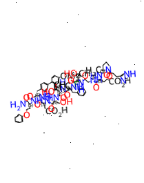 CCc1cc(OC)ccc1-c1ccc(C[C@H](NC(=O)[C@H](CC(=O)O)NC(=O)[C@H](CO)NC(=O)[C@@H](NC(=O)[C@](C)(Cc2ccccc2F)NC(=O)[C@@H](NC(=O)CNC(=O)[C@H](CCC(=O)O)NC(=O)[C@]2(C)CCCN2C(=O)CCc2c[nH]cn2)[C@@H](C)O)[C@@H](C)O)C(=O)N[C@@H](CCOc2ccccc2)C(N)=O)cc1